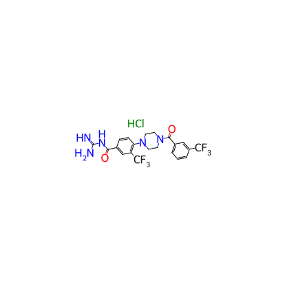 Cl.N=C(N)NC(=O)c1ccc(N2CCN(C(=O)c3cccc(C(F)(F)F)c3)CC2)c(C(F)(F)F)c1